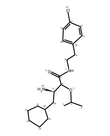 CC(C)OC(C(=O)NCCc1ccc(Cl)cc1)[C@H](N)CC1CCCCC1